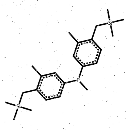 Cc1cc(P(C)c2ccc(C[Si](C)(C)C)c(C)c2)ccc1C[Si](C)(C)C